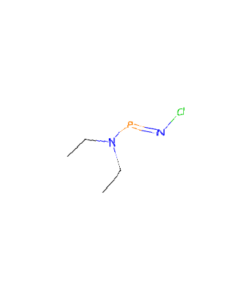 CCN(CC)/P=N/Cl